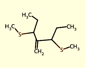 C=C(C(CC)SC)C(CC)SC